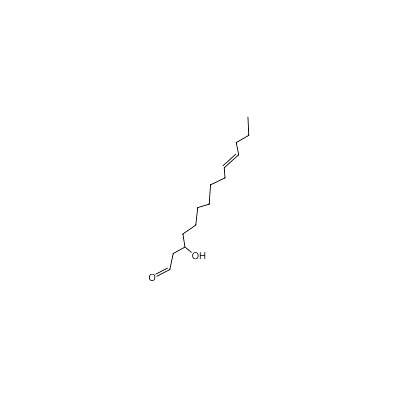 CCCC=CCCCCCCC(O)CC=O